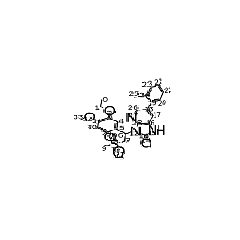 CCOc1cc([C@H](CS(C)(=O)=O)n2c(=O)[nH]c3cc(-c4ccccc4C)cnc32)ccc1OC